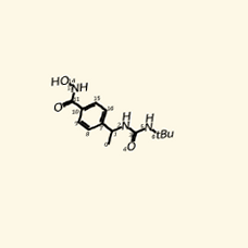 CC(NC(=O)NC(C)(C)C)c1ccc(C(=O)NO)cc1